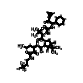 CCCC(NC(=O)[C@@H]1[C@@H]2[C@H](CN1C(=O)[C@@H](NC(=O)N[C@H](C(=O)C1CC1)C1CCCCC1)C(C)(C)C)C2(C)C)C(=O)C(=O)NCCC(F)(F)F